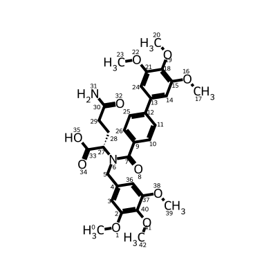 COc1cc(CN(C(=O)c2ccc(-c3cc(OC)c(OC)c(OC)c3)cc2)[C@@H](CCC(N)=O)C(=O)O)cc(OC)c1OC